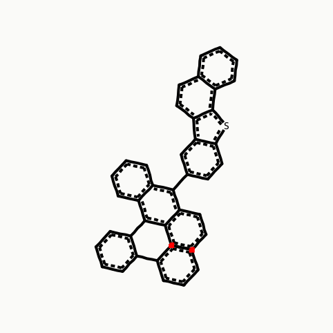 c1ccc(-c2ccccc2-c2c3ccccc3c(-c3ccc4sc5c6ccccc6ccc5c4c3)c3ccccc23)cc1